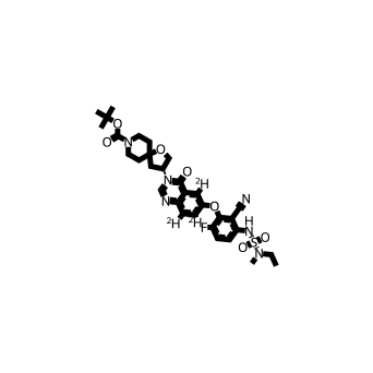 [2H]c1c(Oc2c(F)ccc(NS(=O)(=O)N(C)CC)c2C#N)c([2H])c2c(=O)n([C@H]3COC4(CCN(C(=O)OC(C)(C)C)CC4)C3)cnc2c1[2H]